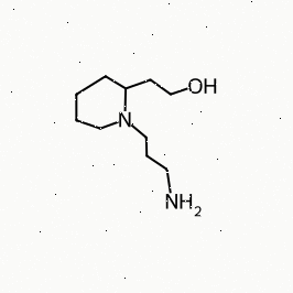 NCCCN1CCCCC1CCO